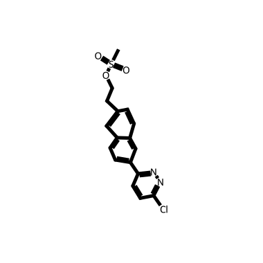 CS(=O)(=O)OCCc1ccc2cc(-c3ccc(Cl)nn3)ccc2c1